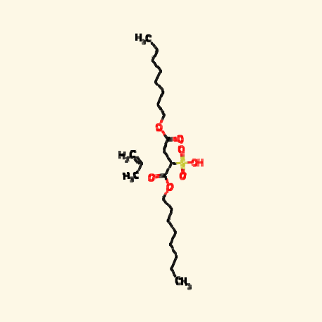 C=CC.CCCCCCCCOC(=O)CC(C(=O)OCCCCCCCC)S(=O)(=O)O